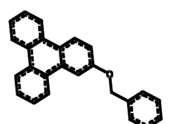 c1ccc(COc2ccc3c4ccccc4c4ccccc4c3c2)cc1